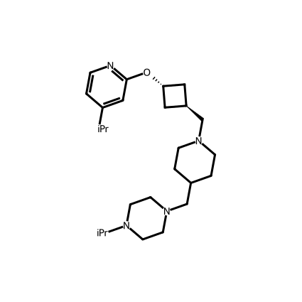 CC(C)c1ccnc(O[C@H]2C[C@H](CN3CCC(CN4CCN(C(C)C)CC4)CC3)C2)c1